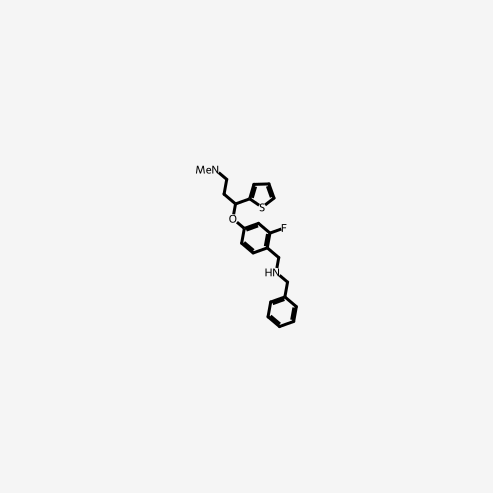 CNCCC(Oc1ccc(CNCc2ccccc2)c(F)c1)c1cccs1